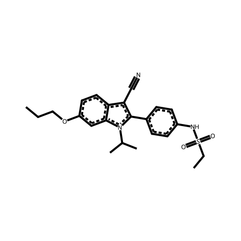 CCCOc1ccc2c(C#N)c(-c3ccc(NS(=O)(=O)CC)cc3)n(C(C)C)c2c1